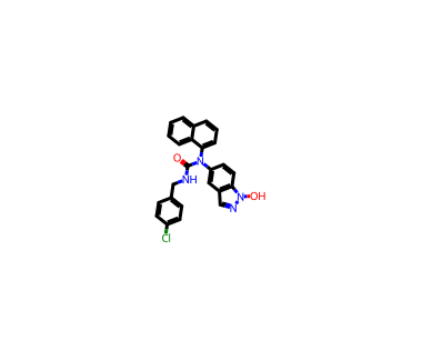 O=C(NCc1ccc(Cl)cc1)N(c1ccc2c(cnn2O)c1)c1cccc2ccccc12